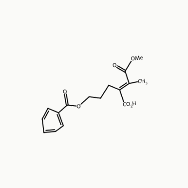 COC(=O)/C(C)=C(\CCCOC(=O)c1ccccc1)C(=O)O